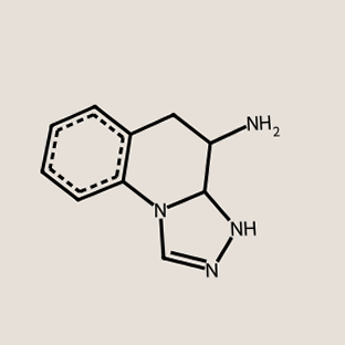 NC1Cc2ccccc2N2C=NNC12